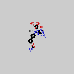 CN(c1ccc(-c2cccc(OCC(N)=O)c2)cc1)c1nc2c(N)ncnc2n1[C@@H]1O[C@H](CO)[C@@H](O)[C@H]1O